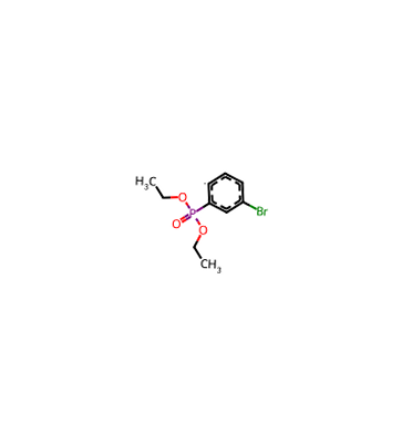 CCOP(=O)(OCC)c1[c]ccc(Br)c1